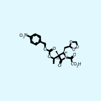 CC(OC(=O)OCc1ccc([N+](=O)[O-])cc1)[C@@]1(C)C(=O)N(C(=O)C(=O)O)[C@@H]1CC1OCOO1